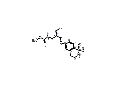 CC(C)(C)OC(=O)NC/C(=C/F)COc1ccc2c(c1)CCNS2(=O)=O